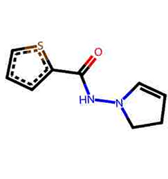 O=C(NN1C=CCC1)c1cccs1